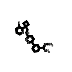 NN=C(N)c1cccc(-c2ccc(NCC3(c4ncccc4F)CCC3)nn2)c1